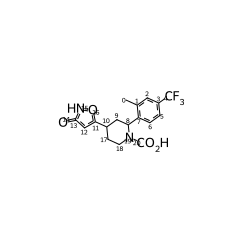 Cc1cc(C(F)(F)F)ccc1C1CC(c2cc(=O)[nH]o2)CCN1C(=O)O